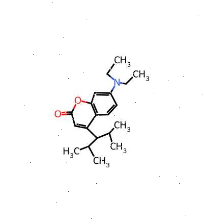 CCN(CC)c1ccc2c(C(C(C)C)C(C)C)cc(=O)oc2c1